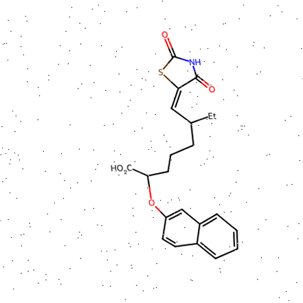 CCC(C=C1SC(=O)NC1=O)CCCC(Oc1ccc2ccccc2c1)C(=O)O